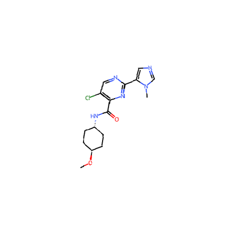 CO[C@H]1CC[C@H](NC(=O)c2nc(-c3cncn3C)ncc2Cl)CC1